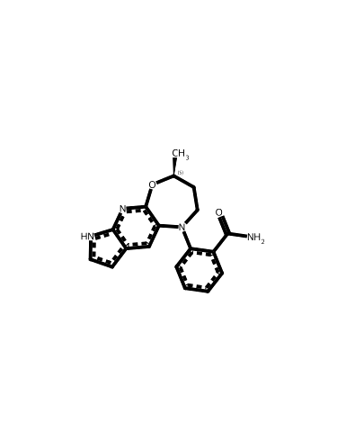 C[C@H]1CCN(c2ccccc2C(N)=O)c2cc3cc[nH]c3nc2O1